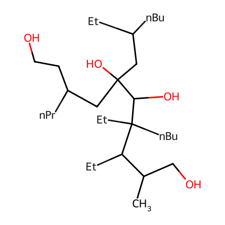 CCCCC(CC)CC(O)(CC(CCC)CCO)C(O)C(CC)(CCCC)C(CC)C(C)CO